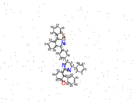 c1ccc(-c2cc(-c3ccc(-c4nc5sc6ccccc6c5c5ccccc45)cc3)nc(-c3cccc4oc5ccccc5c34)n2)cc1